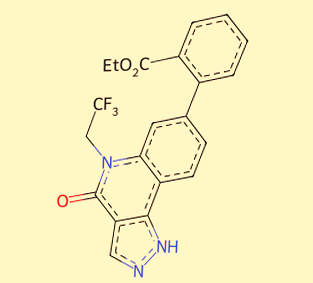 CCOC(=O)c1ccccc1-c1ccc2c3[nH]ncc3c(=O)n(CC(F)(F)F)c2c1